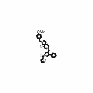 COc1ccc(CN2CCC3(CCN(CC4CN(C(=O)c5ccco5)CC4c4ccccc4)CC3)C2=O)cc1